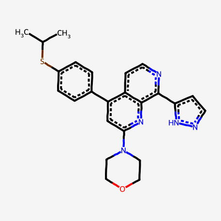 CC(C)Sc1ccc(-c2cc(N3CCOCC3)nc3c(-c4ccn[nH]4)nccc23)cc1